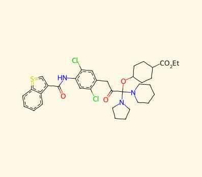 CCOC(=O)C1CCC(OC(C(=O)Cc2cc(Cl)c(NC(=O)c3csc4ccccc34)cc2Cl)(N2CCCCC2)N2CCCC2)CC1